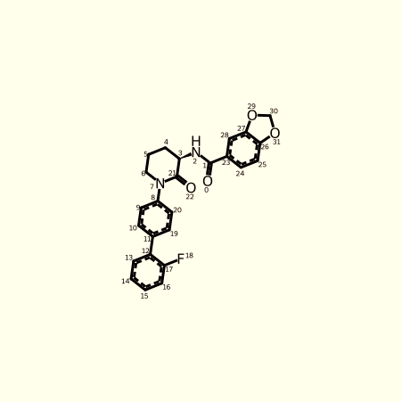 O=C(N[C@@H]1CCCN(c2ccc(-c3ccccc3F)cc2)C1=O)c1ccc2c(c1)OCO2